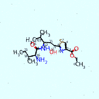 CCOC(=O)c1csc([C@H](O)CC(NC(=O)[C@@H](N)[C@@H](C)CC)C(C)C)n1